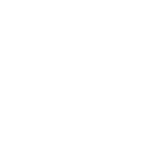 C1=CC(C2=CCSC=C2)=CCS1